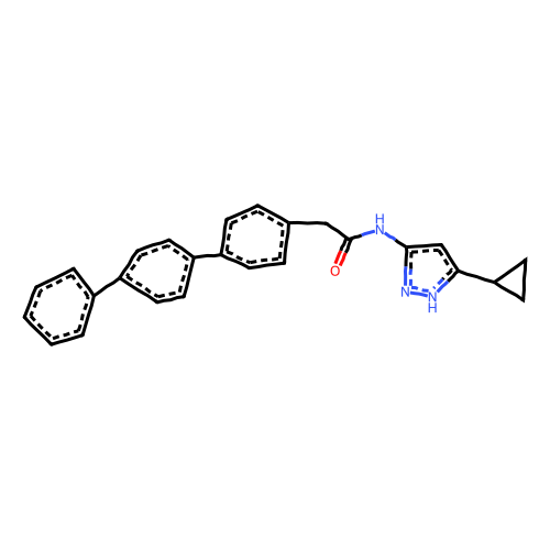 O=C(Cc1ccc(-c2ccc(-c3ccccc3)cc2)cc1)Nc1cc(C2CC2)[nH]n1